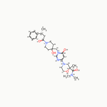 C[C@H](CC(=O)N1CCC(O)(Cn2cnc(N3CCOC(C)(C(=O)N(C)C)C3)cc2=O)CC1)c1ccccc1